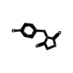 O=C1CSC(=O)N1Cc1ccc(Cl)cc1